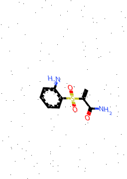 C=C(C(N)=O)S(=O)(=O)c1ccccc1N